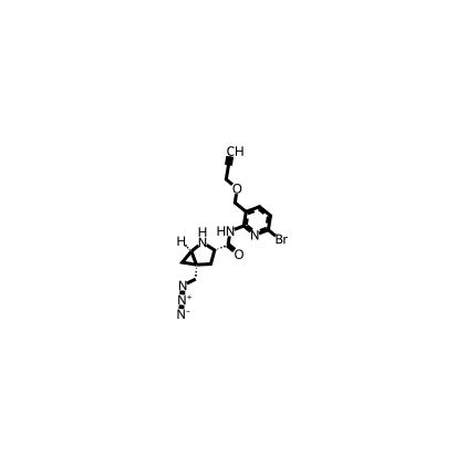 C#CCOCc1ccc(Br)nc1NC(=O)[C@@H]1C[C@@]2(CN=[N+]=[N-])C[C@H]2N1